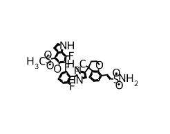 CC1(c2c[nH]c(-c3cc(Oc4c(F)c(F)c5[nH]ccc5c4S(C)(=O)=O)ccc3F)n2)CCOc2c(/C=C/S(N)(=O)=O)cccc21